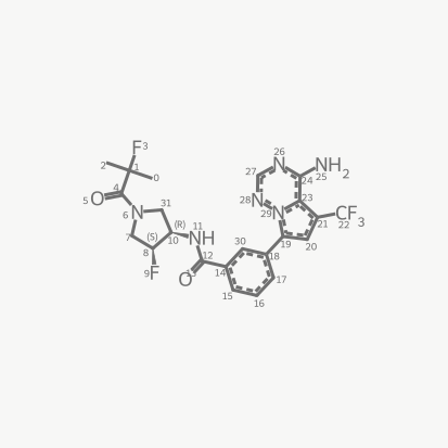 CC(C)(F)C(=O)N1C[C@H](F)[C@H](NC(=O)c2cccc(-c3cc(C(F)(F)F)c4c(N)ncnn34)c2)C1